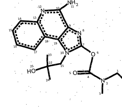 CCN(C)C(=O)Oc1nc2c(N)nc3ccccc3c2n1CC(C)(C)O